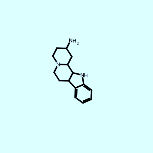 NC1CCN2CCC3c4ccccc4NC3C2C1